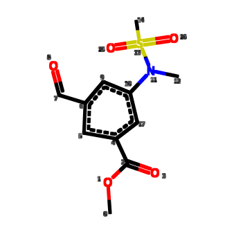 COC(=O)c1cc(C=O)cc(N(C)S(C)(=O)=O)c1